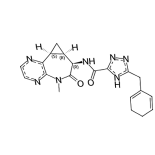 CN1C(=O)[C@H](NC(=O)c2nnc(CC3=CCCC=C3)[nH]2)[C@@H]2C[C@@H]2c2nccnc21